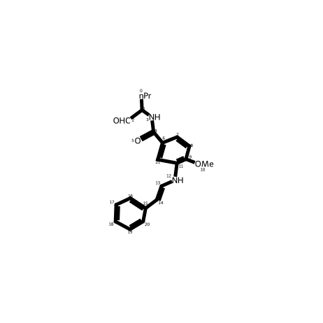 CCCC(C=O)NC(=O)c1ccc(OC)c(NC=Cc2ccccc2)c1